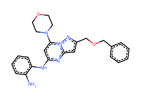 Nc1ccccc1Nc1cc(N2CCOCC2)n2nc(COCc3ccccc3)cc2n1